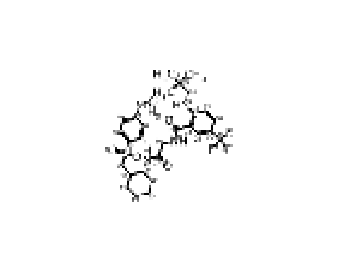 CSc1ccc(S(=O)(=O)C[C@@H]2CCCC[C@@H]2NC(=O)CNC(=O)c2cc(C(F)(F)F)ccc2NCC(C)(C)C)cc1